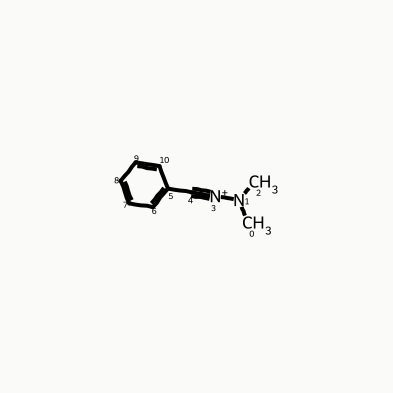 CN(C)[N+]#Cc1ccccc1